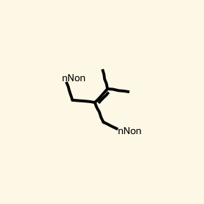 CCCCCCCCCCC(CCCCCCCCCC)=C(C)C